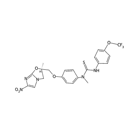 CN(C(=S)Nc1ccc(OC(F)(F)F)cc1)c1ccc(OC[C@@]2(C)Cn3cc([N+](=O)[O-])nc3O2)cc1